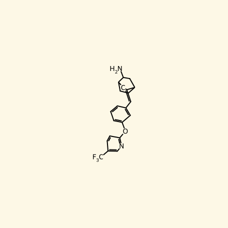 NC1CC2CCC1C/C2=C\c1cccc(Oc2ccc(C(F)(F)F)cn2)c1